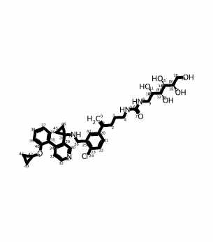 C=C(CCCNC(=O)NC[C@H](O)[C@@H](O)[C@H](O)[C@H](O)CO)c1ccc(Cl)c(CNC2(c3cnccc3-c3ccccc3OC3CC3)CC2)c1